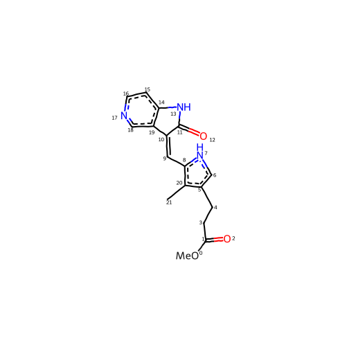 COC(=O)CCc1c[nH]c(C=C2C(=O)Nc3ccncc32)c1C